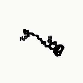 CCC1(CCCCCCOC=C(CC23CC4CC(CC(C4)C2)C3)C(=O)O)COC1